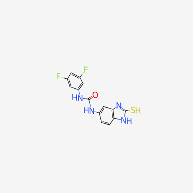 O=C(Nc1cc(F)cc(F)c1)Nc1ccc2[nH]c(S)nc2c1